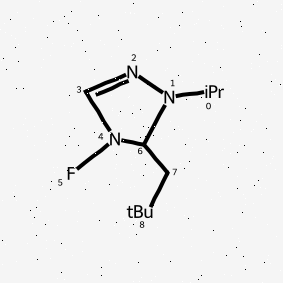 CC(C)N1N=CN(F)C1CC(C)(C)C